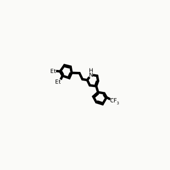 CCc1ccc(CCC2CC(c3cccc(C(F)(F)F)c3)=CCN2)cc1CC